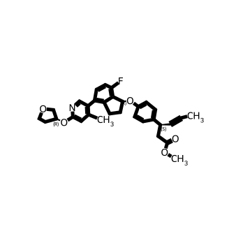 CC#C[C@@H](CC(=O)OC)c1ccc(O[C@@H]2CCc3c(-c4cnc(O[C@@H]5CCOC5)cc4C)ccc(F)c32)cc1